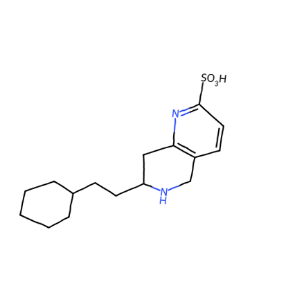 O=S(=O)(O)c1ccc2c(n1)CC(CCC1CCCCC1)NC2